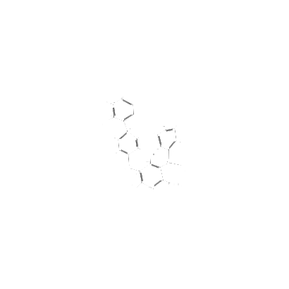 CCCCc1nc(O)c(Sc2ccc(-c3cccnc3C)cc2)c(O)c1N(C)c1ccccc1